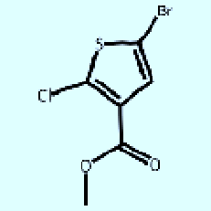 COC(=O)c1cc(Br)sc1Cl